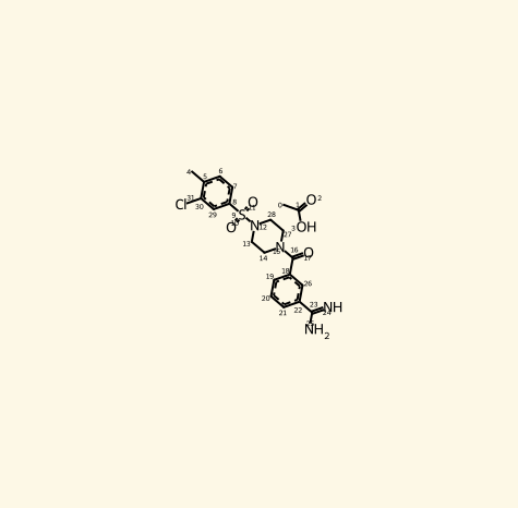 CC(=O)O.Cc1ccc(S(=O)(=O)N2CCN(C(=O)c3cccc(C(=N)N)c3)CC2)cc1Cl